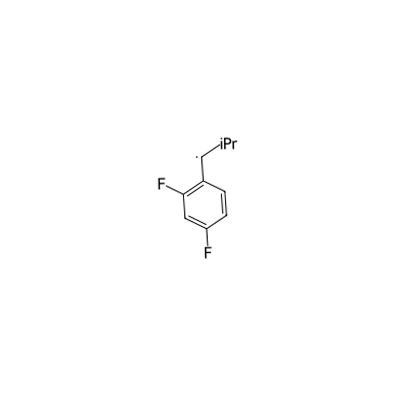 CC(C)[CH]c1ccc(F)cc1F